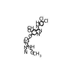 COCCN/C(=N\C#N)N1CCOC(COc2cc3ncnc(Nc4ccc(Cl)c(Cl)c4)c3cc2OC)C1